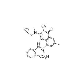 Cc1cc([C@@H](C)Nc2ccccc2C(=O)O)c2nc(N3CC4CC4C3)c(C#N)c(=O)n2c1